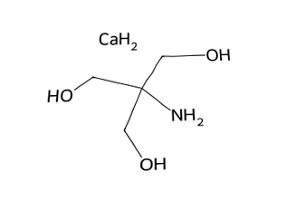 NC(CO)(CO)CO.[CaH2]